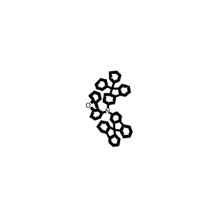 c1ccc(C2(c3ccccc3)c3ccccc3-c3cc(N(c4ccc5c(c4)C4(c6ccccc6-c6ccccc64)c4ccccc4-5)c4cccc5oc6ccccc6c45)ccc32)cc1